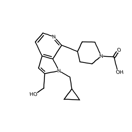 O=C(O)N1CCC(c2nccc3cc(CO)n(CC4CC4)c23)CC1